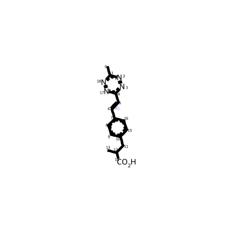 Cc1nnc(/C=C/c2ccc(CC(C)C(=O)O)cc2)nn1